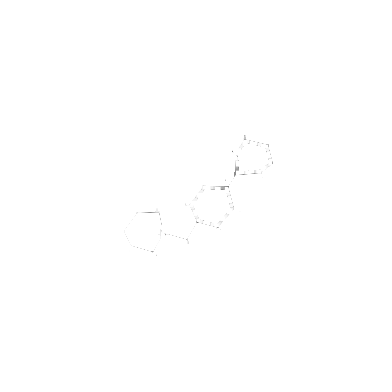 c1ccc(-c2ccc(CN3CCCCC3)cc2)nc1